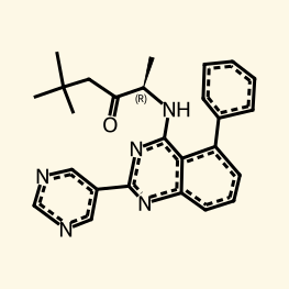 C[C@@H](Nc1nc(-c2cncnc2)nc2cccc(-c3ccccc3)c12)C(=O)CC(C)(C)C